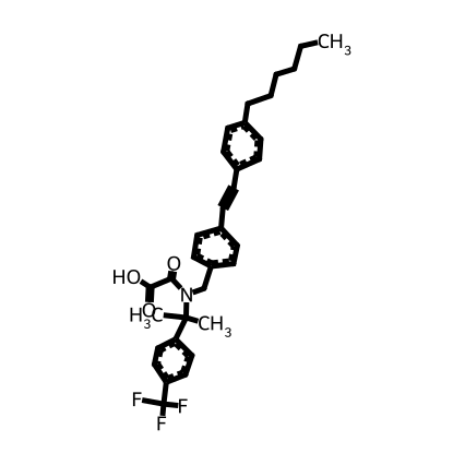 CCCCCCc1ccc(C#Cc2ccc(CN(C(=O)C(=O)O)C(C)(C)c3ccc(C(F)(F)F)cc3)cc2)cc1